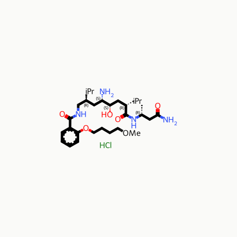 COCCCCOc1ccccc1C(=O)NC[C@H](C[C@H](N)[C@@H](O)C[C@@H](C(=O)N[C@H](C)CC(N)=O)C(C)C)C(C)C.Cl